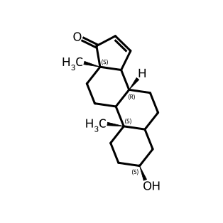 C[C@]12CC[C@H](O)CC1CC[C@@H]1C2CC[C@]2(C)C(=O)C=CC12